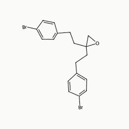 Brc1ccc(CCC2(CCc3ccc(Br)cc3)CO2)cc1